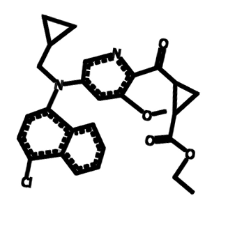 CCOC(=O)C1CC1C(=O)c1ncc(N(CC2CC2)c2ccc(Cl)c3ccccc23)cc1OC